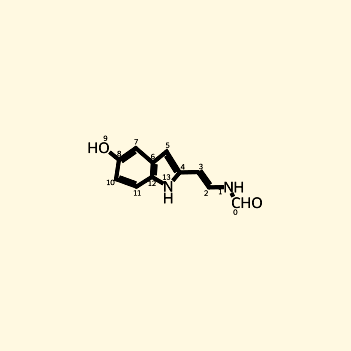 O=CNC=Cc1cc2cc(O)ccc2[nH]1